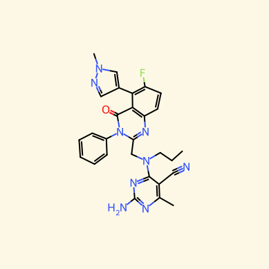 CCCN(Cc1nc2ccc(F)c(-c3cnn(C)c3)c2c(=O)n1-c1ccccc1)c1nc(N)nc(C)c1C#N